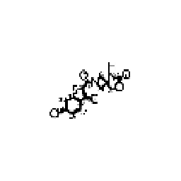 O=C1NC2(CO1)CN(C(=O)c1sc3cc(Cl)ccc3c1Cl)C2